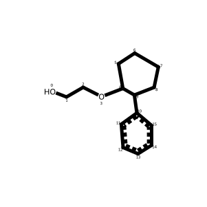 OCCOC1CCCCC1c1ccccc1